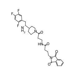 N[C@H](Cc1cc(F)c(F)cc1F)C1CCN(C(=O)CCNC(=O)CCCN2C(=O)c3ccccc3C2=O)CC1